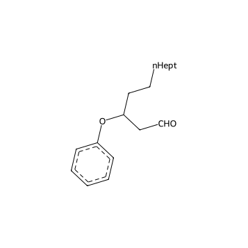 CCCCCCCCCC(CC=O)Oc1ccccc1